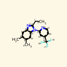 CCc1nc2cc(C)c(C)cc2n1-c1cc(C(F)(F)F)ccn1